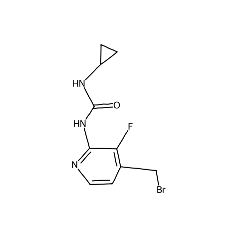 O=C(Nc1nccc(CBr)c1F)NC1CC1